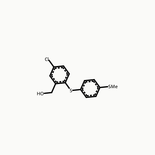 CSc1ccc(Sc2ccc(Cl)cc2CO)cc1